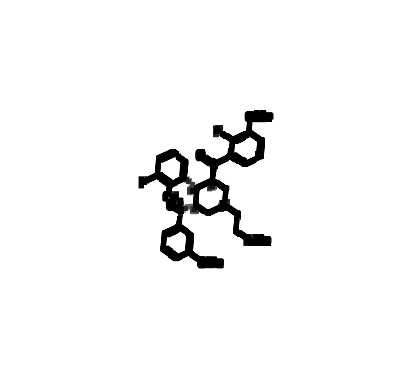 CNCCN1C[C@H](C(=O)c2cccc(OC)c2)[C@H](c2cccc(F)c2C)[C@@H](C(=O)c2cccc(OC)c2F)C1